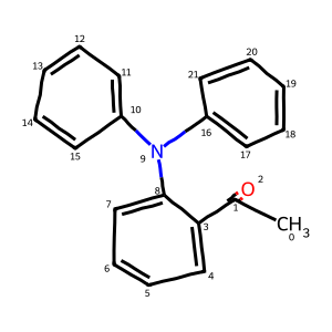 CC(=O)c1ccccc1N(c1ccccc1)c1ccccc1